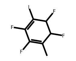 CC1=C(F)C(F)=C(I)C(F)C1F